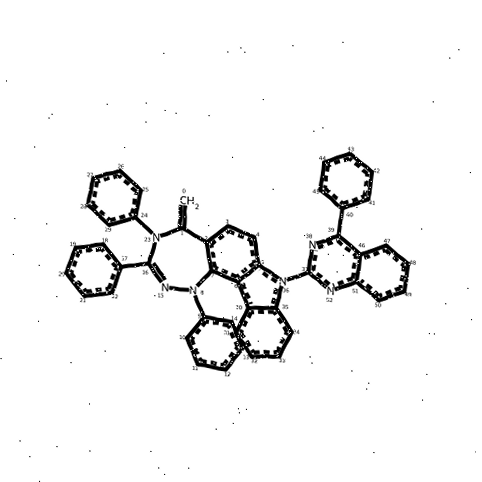 C=C1c2ccc3c(c2N(c2ccccc2)N=C(c2ccccc2)N1c1ccccc1)c1ccccc1n3-c1nc(-c2ccccc2)c2ccccc2n1